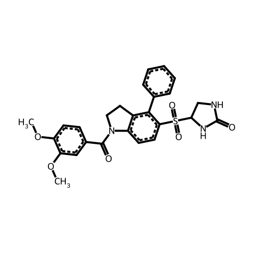 COc1ccc(C(=O)N2CCc3c2ccc(S(=O)(=O)C2CNC(=O)N2)c3-c2ccccc2)cc1OC